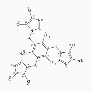 Cc1c(Cn2cnc(Cl)c2Cl)c(C)c(Cn2cnc(Cl)c2Cl)c(C)c1Cn1cnc(Cl)c1Cl